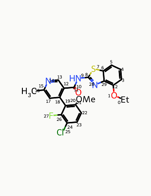 CCOc1cccc2sc(NC(=O)c3cnc(C)cc3-c3c(OC)ccc(Cl)c3F)nc12